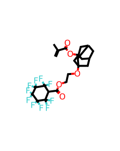 C=C(C)C(=O)OC12CC3CC(CC(OCCOC(=O)C4C(F)(F)C(F)(F)C(F)(F)C(F)(F)C4(F)F)(C3)C1)C2